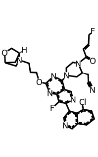 N#CC[C@H]1CN(c2nc(OCCCN3CC4C[C@H]3CO4)nc3c(F)c(-c4cncc5cccc(Cl)c45)ncc23)CCN1C(=O)/C=C/CF